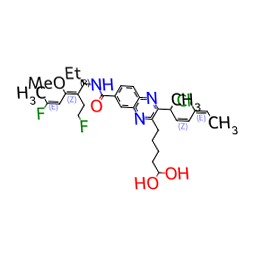 C/C=C(Cl)\C=C/C(C)c1nc2ccc(C(=O)N[C@H](CC)/C(CCF)=C(/C=C(\C)F)OC)cc2nc1CCCCC(O)O